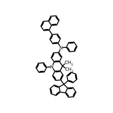 CC1(C)c2cc(N(c3ccccc3)c3ccc(-c4cccc5ccccc45)cc3)ccc2N(c2ccccc2)c2ccc(C3(c4ccccc4)c4ccccc4-c4ccccc43)cc21